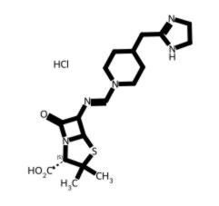 CC1(C)SC2C(N=CN3CCC(CC4=NCCN4)CC3)C(=O)N2[C@H]1C(=O)O.Cl